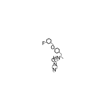 C[C@H](Cc1ccc(OCc2cccc(F)c2)cc1)NCC(=O)N1CCN(C)CC1